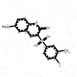 COc1ccc2oc(=O)c(S(=O)(=O)c3ccc(F)c(C)c3)cc2c1